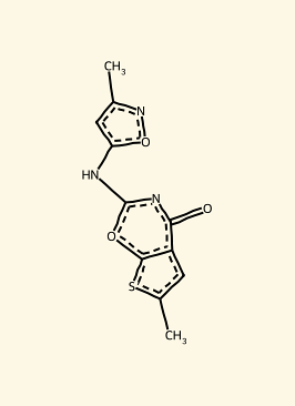 Cc1cc(Nc2nc(=O)c3cc(C)sc3o2)on1